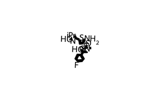 CC(C)C(=NO)c1cc(S(=O)(=O)N(C)CC(O)c2ccc(F)cc2)c(N)s1